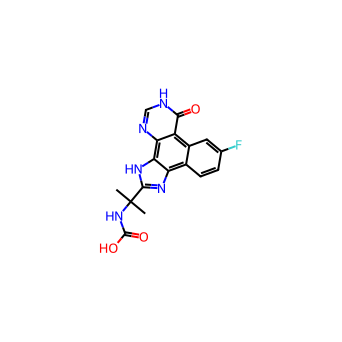 CC(C)(NC(=O)O)c1nc2c3ccc(F)cc3c3c(=O)[nH]cnc3c2[nH]1